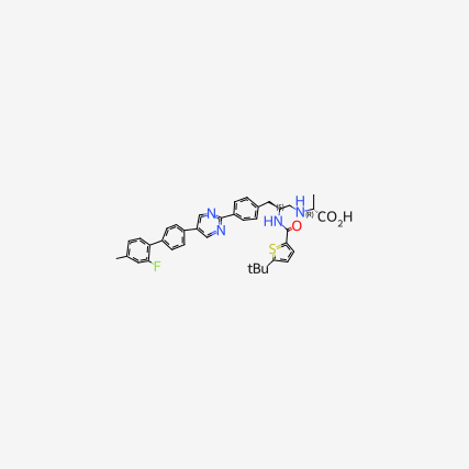 Cc1ccc(-c2ccc(-c3cnc(-c4ccc(C[C@@H](CN[C@H](C)C(=O)O)NC(=O)c5ccc(C(C)(C)C)s5)cc4)nc3)cc2)c(F)c1